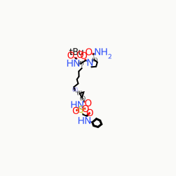 CC(C)(C)OC(=O)N[C@@H](CCCCC/C=C\[C@@H]1C[C@@H]1C(=O)NS(=O)(=O)CC(=O)Nc1ccccc1)C(=O)N1CCC[C@H]1C(N)=O